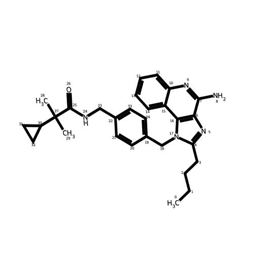 CCCCc1nc2c(N)nc3ccccc3c2n1Cc1ccc(CNC(=O)C(C)(C)C2CC2)cc1